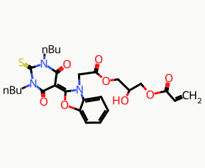 C=CC(=O)OCC(O)COC(=O)CN1C(=C2C(=O)N(CCCC)C(=S)N(CCCC)C2=O)Oc2ccccc21